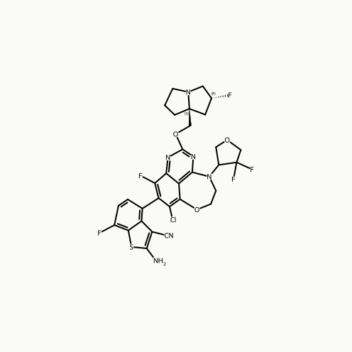 N#Cc1c(N)sc2c(F)ccc(-c3c(Cl)c4c5c(nc(OC[C@@]67CCCN6C[C@H](F)C7)nc5c3F)N(C3COCC3(F)F)CCO4)c12